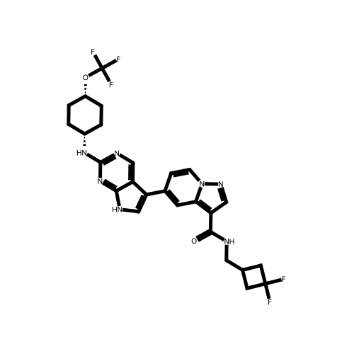 O=C(NCC1CC(F)(F)C1)c1cnn2ccc(-c3c[nH]c4nc(N[C@H]5CC[C@@H](OC(F)(F)F)CC5)ncc34)cc12